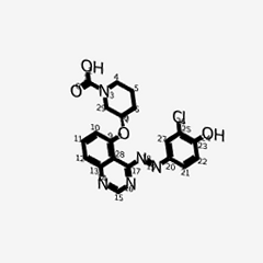 O=C(O)N1CCC[C@@H](Oc2cccc3ncnc(N=Nc4ccc(O)c(Cl)c4)c23)C1